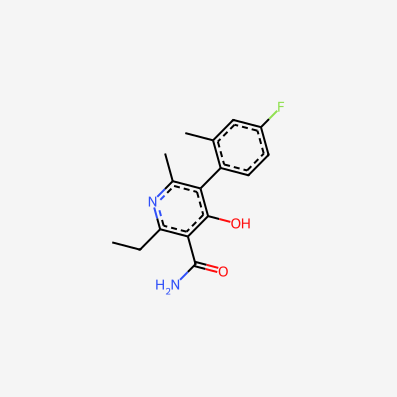 CCc1nc(C)c(-c2ccc(F)cc2C)c(O)c1C(N)=O